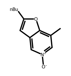 CCCCc1cc2c[n+]([O-])cc(C)c2o1